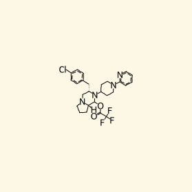 O=C(OC1[C@@H]2CCCN2C[C@H](Cc2ccc(Cl)cc2)N1C1CCN(c2ccccn2)CC1)C(F)(F)F